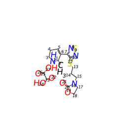 CC1NCCC=C1c1nsnc1SCCCN1CCOC1=O.O=C(O)C(=O)O